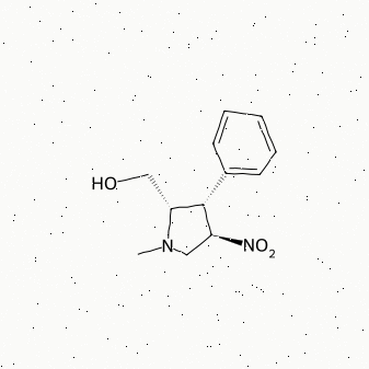 CN1C[C@H]([N+](=O)[O-])[C@@H](c2ccccc2)[C@H]1CO